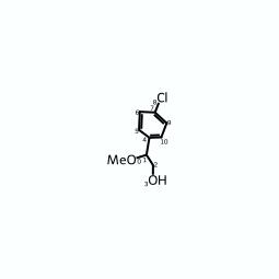 COC(CO)c1ccc(Cl)cc1